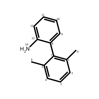 Cc1cccc(C)c1-c1ccccc1N